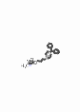 C/C(N)=C/C(=O)OCCCCN1CCN(C(c2ccccc2)c2ccccc2)CC1